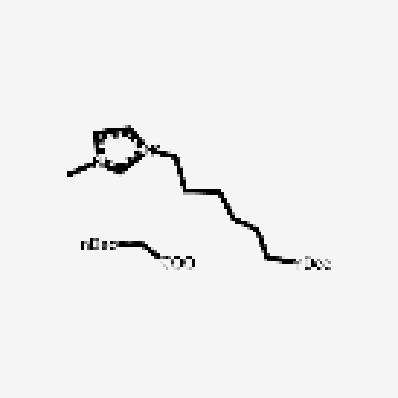 CCCCCCCCCCCC(=O)[O-].CCCCCCCCCCCCCCCC[n+]1ccn(C)c1